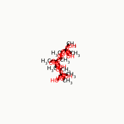 CC(O)COCC(COCCO)(COCC(C)O)COCC(C)OC(=O)OC(C)COCC(COCCO)(COCC(C)O)COCC(C)OC(=O)OC(C)COCC(COCCO)(COCC(C)O)COCC(C)O